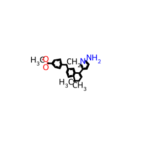 C=C(c1ccc(C(=O)OC)cc1)c1ccc2c(c1)C(c1ccc(N)nc1)=CCC2(C)C